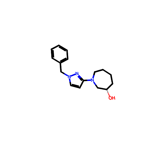 O[C@H]1CCCCN(c2ccn(Cc3ccccc3)n2)C1